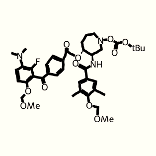 COCOc1ccc(N(C)C)c(F)c1C(=O)c1ccc(C(=O)O[C@@H]2CCCN(OC(=O)OC(C)(C)C)C[C@H]2NC(=O)c2cc(C)c(OCOC)c(C)c2)cc1